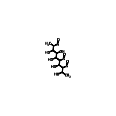 CC(O)C(N=O)C(O)C(N=O)C(O)C(O)C(O)C(C)N=O